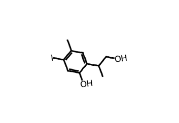 Cc1cc(C(C)CO)c(O)cc1I